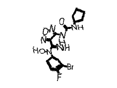 N=C(c1nonc1NC(=O)NC1CCCC1)N(O)c1ccc(F)c(Br)c1